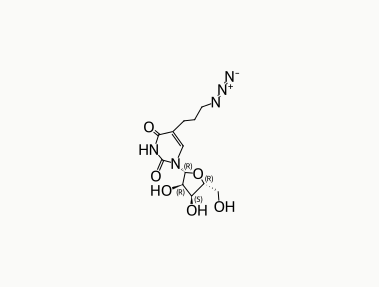 [N-]=[N+]=NCCCc1cn([C@@H]2O[C@H](CO)[C@@H](O)[C@H]2O)c(=O)[nH]c1=O